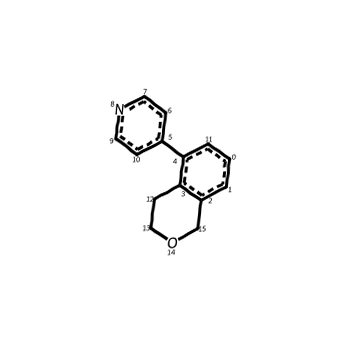 c1cc2c(c(-c3ccncc3)c1)CCOC2